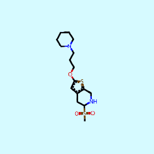 CS(=O)(=O)C1Cc2cc(OCCCN3CCCCC3)sc2CN1